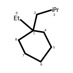 CCC1(CC(C)C)CCCCC1